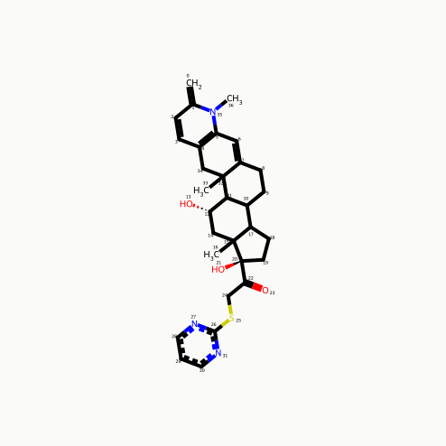 C=C1C=CC2=C(C=C3CCC4C([C@@H](O)CC5(C)C4CC[C@]5(O)C(=O)CSc4ncccn4)C3(C)C2)N1C